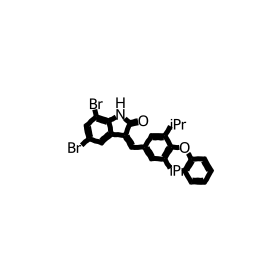 CC(C)c1cc(C=C2C(=O)Nc3c(Br)cc(Br)cc32)cc(C(C)C)c1Oc1ccccc1